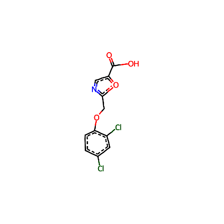 O=C(O)c1cnc(COc2ccc(Cl)cc2Cl)o1